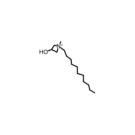 CCCCCCCCCCC[N+]1(C)CC(O)C1